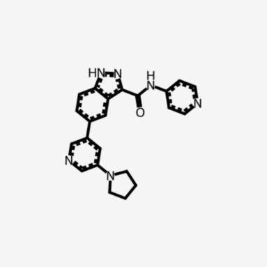 O=C(Nc1ccncc1)c1n[nH]c2ccc(-c3cncc(N4CCCC4)c3)cc12